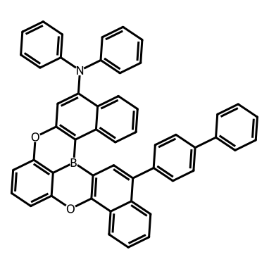 c1ccc(-c2ccc(-c3cc4c(c5ccccc35)Oc3cccc5c3B4c3c(cc(N(c4ccccc4)c4ccccc4)c4ccccc34)O5)cc2)cc1